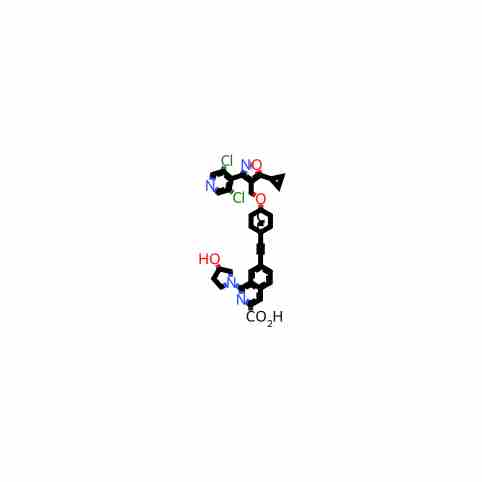 O=C(O)c1cc2ccc(C#CC34CCC(OCc5c(-c6c(Cl)cncc6Cl)noc5C5CC5)(CC3)CC4)cc2c(N2CCC(O)C2)n1